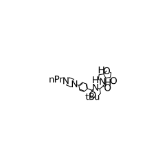 CCCN1CCN(c2ccc(C(=O)NC(CC(C)(C)C)C(=O)N3CC[C@H]4OCC(=O)[C@H]43)cc2)CC1